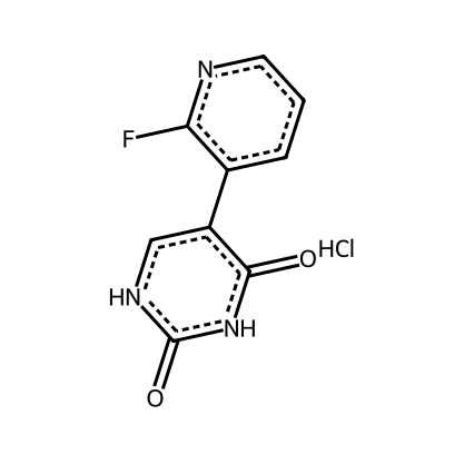 Cl.O=c1[nH]cc(-c2cccnc2F)c(=O)[nH]1